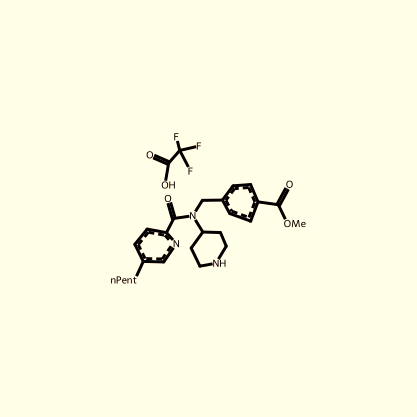 CCCCCc1ccc(C(=O)N(Cc2ccc(C(=O)OC)cc2)C2CCNCC2)nc1.O=C(O)C(F)(F)F